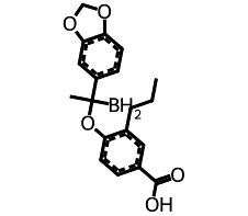 BC(C)(Oc1ccc(C(=O)O)cc1CCC)c1ccc2c(c1)OCO2